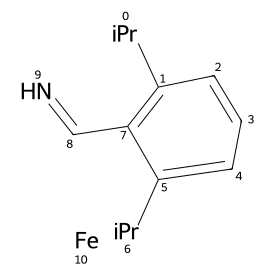 CC(C)c1cccc(C(C)C)c1C=N.[Fe]